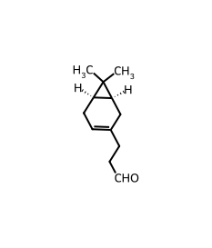 CC1(C)[C@@H]2CC=C(CCC=O)C[C@@H]21